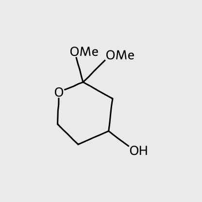 COC1(OC)CC(O)CCO1